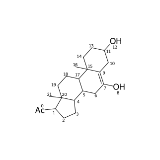 CC(=O)C1CCC2C3CC(O)=C4CC(O)CCC4(C)C3CCC12C